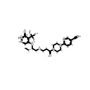 CC[C@@H](COCCC(=O)N1CCN(c2ccc(C#N)cn2)CC1)Oc1cn[nH]c(=O)c1C(F)(F)F